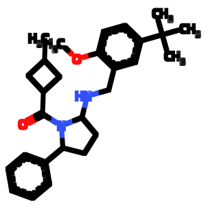 COc1ccc(C(C)(C)C)cc1CNC1CCC(c2ccccc2)N1C(=O)C1CC(C)C1